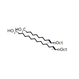 CCCCCCCC/C=C/CCCCCCCC(=O)O.CCCCCCCC/C=C/CCCCCCCCCCCC(=O)O